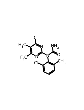 Cc1cccc(Cl)c1N(C(N)=O)c1nc(Cl)c(C)c(C(F)(F)F)n1